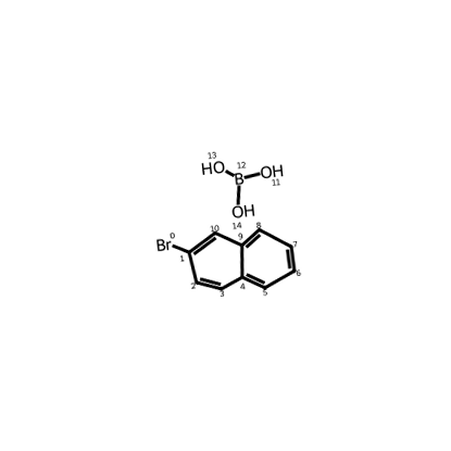 Brc1ccc2ccccc2c1.OB(O)O